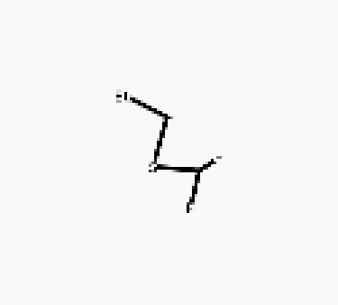 CC[CH]SC(F)F